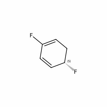 FC1=CC[C@H](F)C=C1